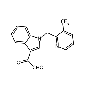 O=CC(=O)c1cn(Cc2ncccc2C(F)(F)F)c2ccccc12